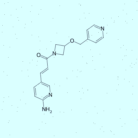 Nc1ccc(C=CC(=O)N2CC(OCc3ccncc3)C2)cn1